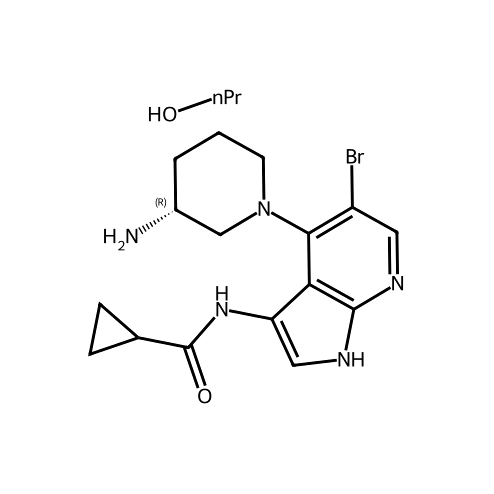 CCCO.N[C@@H]1CCCN(c2c(Br)cnc3[nH]cc(NC(=O)C4CC4)c23)C1